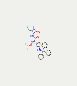 O=C(NC1C(=O)NC1CF)/C(=N/OC(F)F)c1csc(NC(c2ccccc2)(c2ccccc2)c2ccccc2)n1